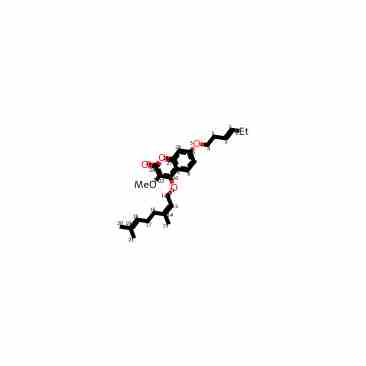 CCC=CCCOc1ccc2c(OCC=C(C)CCC=C(C)C)c(OC)c(=O)oc2c1